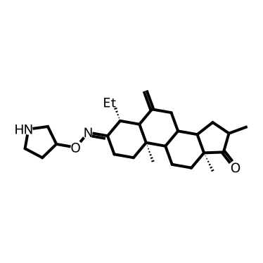 C=C1CC2C(CC[C@]3(C)C(=O)C(C)CC23)[C@@]2(C)CCC(=NOC3CCNC3)[C@H](CC)C12